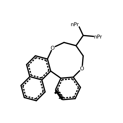 CCCC(CCC)C1COc2ccc3ccccc3c2-c2c(ccc3ccccc23)OC1